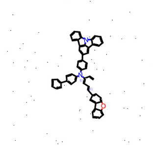 C=C/C(=C\C=C\c1ccc2oc3ccccc3c2c1)N(c1ccc(-c2ccccc2)cc1)c1ccc(-c2cc3c4ccccc4n4c5ccccc5c(c2)c34)cc1